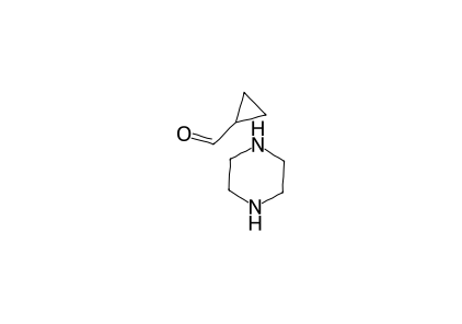 C1CNCCN1.O=CC1CC1